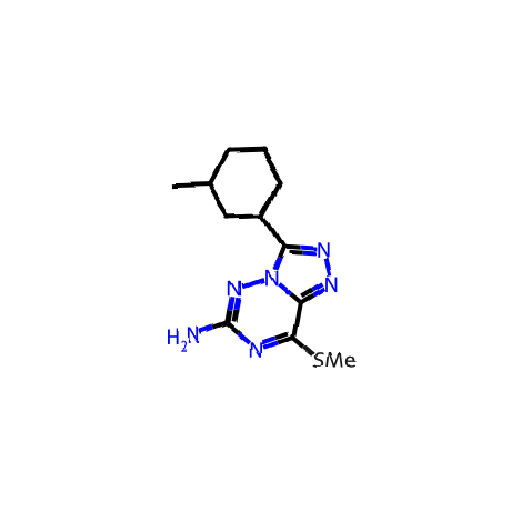 CSc1nc(N)nn2c(C3CCCC(C)C3)nnc12